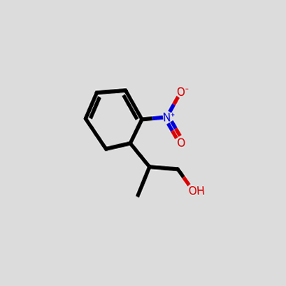 CC(CO)C1CC=CC=C1[N+](=O)[O-]